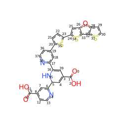 O=C(O)C1=CC(c2cc(C(=O)O)ccn2)NC(c2cc(-c3ccc(-c4cc5oc6ccsc6c5s4)s3)ccn2)=C1